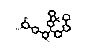 CC(C)(C)c1cc(-c2ccc(-c3cc(C(C)(C)C)cc(C(C)(C)C)c3)cc2)cc(N(c2cccc(-c3cccc(C4CCCCC4)c3)c2)c2ccc3c(c2)C(C)(C)c2ccccc2-3)c1